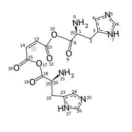 N[C@@H](Cc1cnc[nH]1)C(=O)OC(=O)/C=C\C(=O)OC(=O)[C@@H](N)Cc1cnc[nH]1